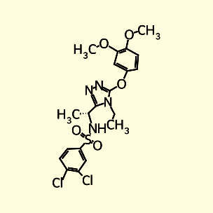 CCn1c(Oc2ccc(OC)c(OC)c2)nnc1[C@@H](C)NS(=O)(=O)c1ccc(Cl)c(Cl)c1